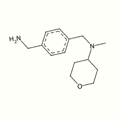 CN(Cc1ccc(CN)cc1)C1CCOCC1